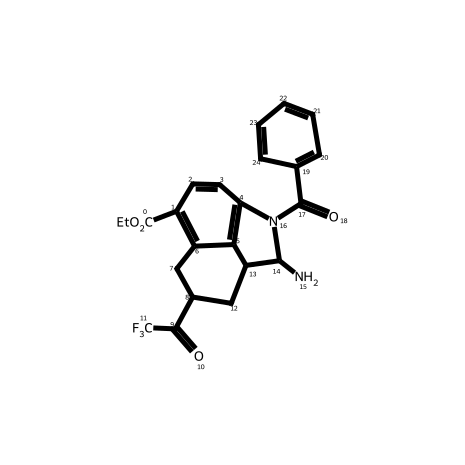 CCOC(=O)c1ccc2c3c1CC(C(=O)C(F)(F)F)CC3C(N)N2C(=O)c1ccccc1